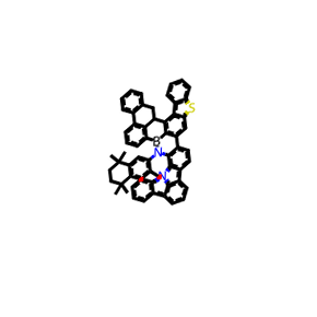 Cc1cc2c(cc1N1B3c4cccc5c4C(Cc4ccccc4-5)c4c3c(cc3sc5ccccc5c43)-c3ccc4c5cccc6c7ccccc7n(c4c31)c65)C(C)(C)CCC2(C)C